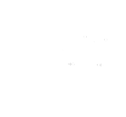 C[C@]1(c2ccc(-c3ccccc3)cc2)OC(=O)C(O)=C1O